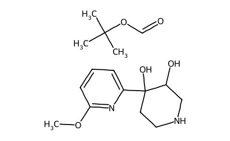 CC(C)(C)OC=O.COc1cccc(C2(O)CCNCC2O)n1